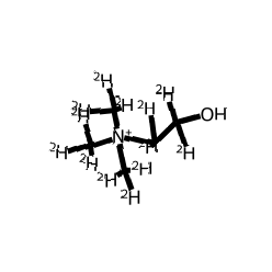 [2H]C([2H])(O)C([2H])([2H])[N+](C([2H])([2H])[2H])(C([2H])([2H])[2H])C([2H])([2H])[2H]